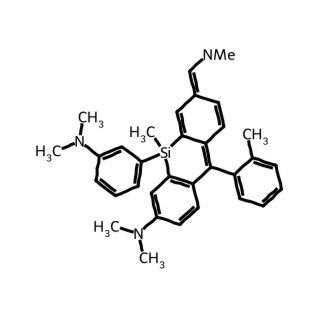 CNC=c1ccc2c(c1)[Si](C)(c1cccc(N(C)C)c1)c1cc(N(C)C)ccc1C=2c1ccccc1C